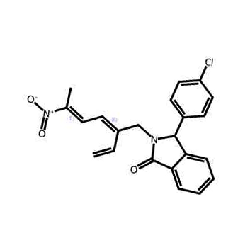 C=C/C(=C\C=C(/C)[N+](=O)[O-])CN1C(=O)c2ccccc2C1c1ccc(Cl)cc1